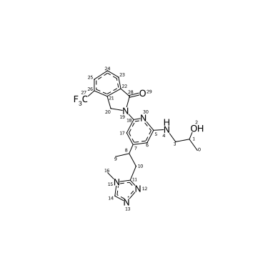 CC(O)CNc1cc(C(C)Cc2nncn2C)cc(N2Cc3c(cccc3C(F)(F)F)C2=O)n1